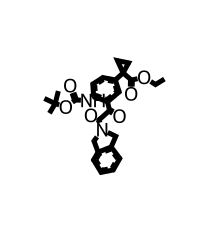 CCOC(=O)C1(c2ccc(NC(=O)OC(C)(C)C)c(C(=O)C(=O)N3Cc4ccccc4C3)c2)CC1